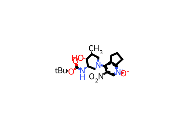 C[C@H]1CN(c2c([N+](=O)[O-])c[n+]([O-])c3c2CCC3)C[C@@H](NC(=O)OC(C)(C)C)[C@@H]1O